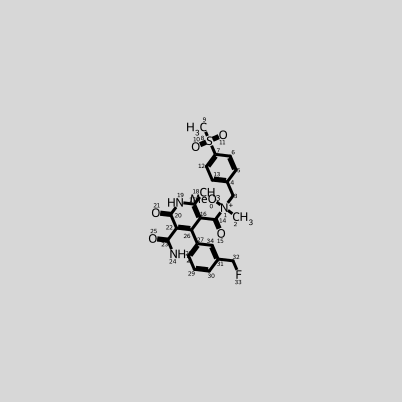 CO[N+](C)(Cc1ccc(S(C)(=O)=O)cc1)C(=O)c1c(C)[nH]c(=O)c(C(N)=O)c1-c1cccc(CF)c1